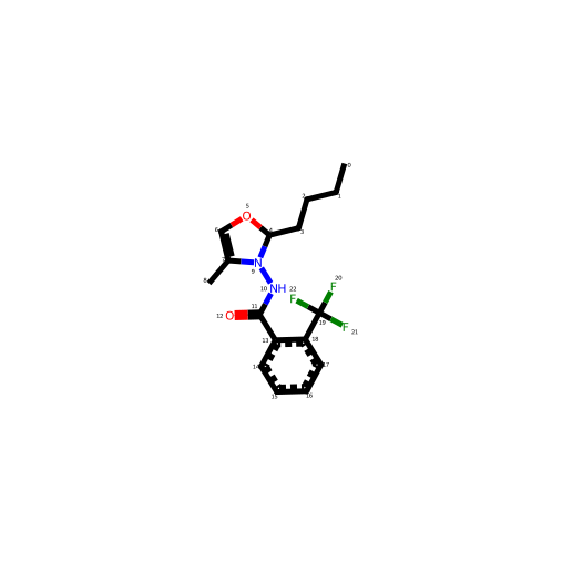 CCCCC1OC=C(C)N1NC(=O)c1ccccc1C(F)(F)F